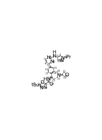 CC(C)n1cc(Nc2nccc(-c3ccc4c(c3)CN(C3COC3)CC[C@@H]4NC(=O)c3nnc(C(C)(C)C)o3)n2)cn1